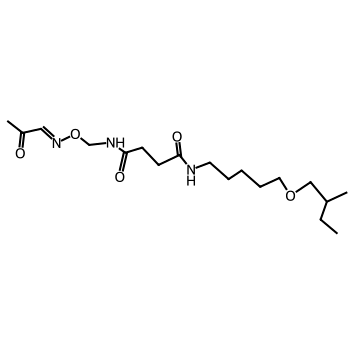 CCC(C)COCCCCCNC(=O)CCC(=O)NCO/N=C/C(C)=O